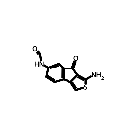 Nc1scc2c1C(=O)c1cc(NC=O)ccc1-2